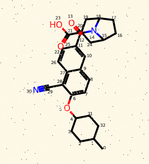 CC1CCC(Oc2ccc3cc(C(=O)N4C5CCC4CC(C(=O)O)C5)ccc3c2C#N)CC1